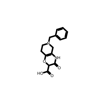 O=C(O)C1OC2=C(CN(Cc3ccccc3)CC2)NC1=O